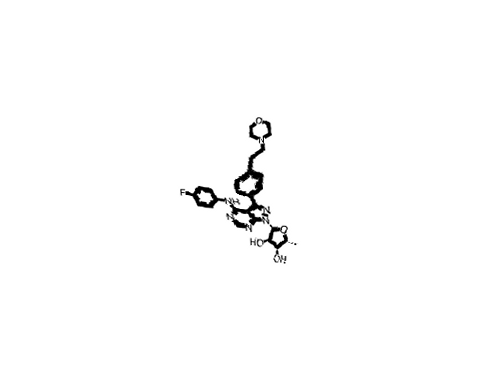 C[C@H]1O[C@@H](n2nc(-c3ccc(CCN4CCOCC4)cc3)c3c(Nc4ccc(F)cc4)ncnc32)[C@H](O)[C@@H]1O